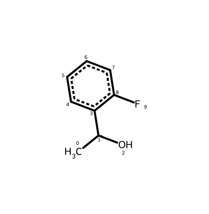 C[C](O)c1ccccc1F